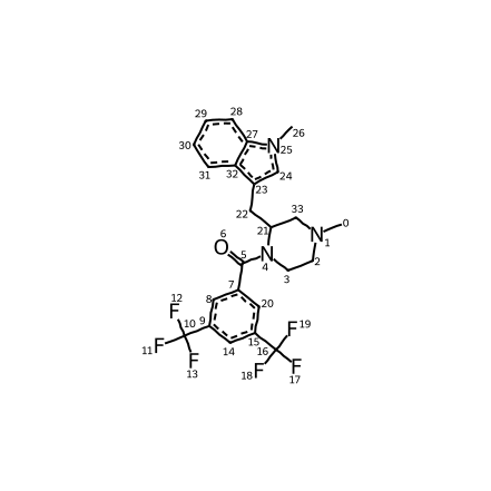 CN1CCN(C(=O)c2cc(C(F)(F)F)cc(C(F)(F)F)c2)C(Cc2cn(C)c3ccccc23)C1